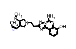 C=NC1=C(/C=C\C)CN(CCc2nc3c4cccc(O)c4nc(N)n3n2)C1